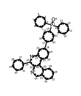 O=P(c1ccccc1)(c1ccccc1)c1ccc(-c2ccc3c(c2)nc(-c2ccccc2)c2ncc4ccccc4c23)cc1